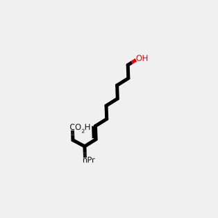 CCCC(C=CCCCCCCO)CC(=O)O